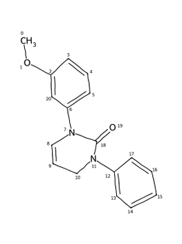 COc1cccc(N2C=CCN(c3ccccc3)C2=O)c1